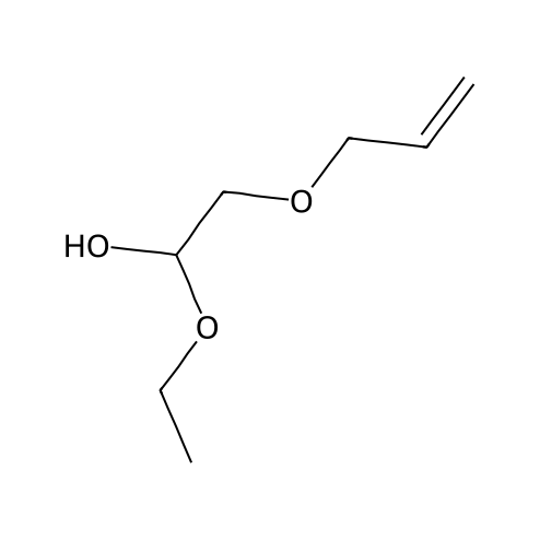 C=CCOCC(O)OCC